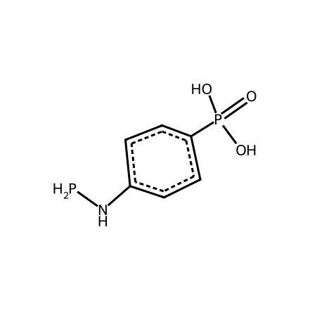 O=P(O)(O)c1ccc(NP)cc1